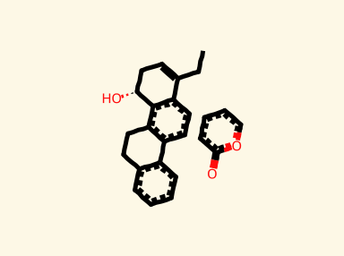 CCC1=CC[C@@H](O)c2c1ccc1c2CCc2ccccc2-1.O=c1cccco1